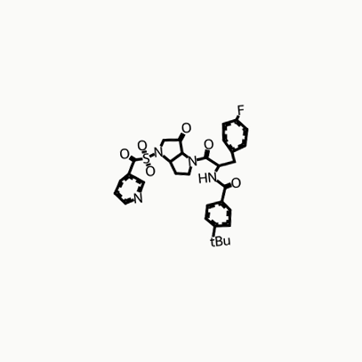 CC(C)(C)c1ccc(C(=O)NC(Cc2ccc(F)cc2)C(=O)N2CCC3C2C(=O)CN3S(=O)(=O)C(=O)c2cccnc2)cc1